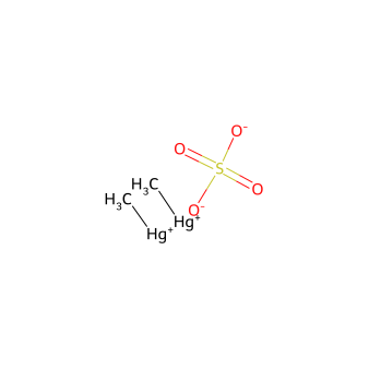 O=S(=O)([O-])[O-].[CH3][Hg+].[CH3][Hg+]